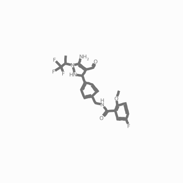 COc1ccc(F)cc1C(=O)NCc1ccc(C2NN(C(C)C(F)(F)F)C(N)=C2C=O)cc1